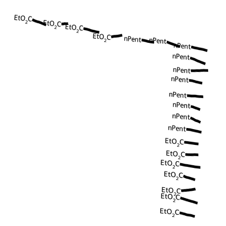 CCCCCC.CCCCCC.CCCCCC.CCCCCC.CCCCCC.CCCCCC.CCCCCC.CCCCCC.CCCCCC.CCCCCC.CCOC(C)=O.CCOC(C)=O.CCOC(C)=O.CCOC(C)=O.CCOC(C)=O.CCOC(C)=O.CCOC(C)=O.CCOC(C)=O.CCOC(C)=O.CCOC(C)=O.CCOC(C)=O